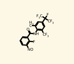 Cc1cc(C(F)(C(F)(F)F)C(F)(F)F)cc(C(F)(F)F)c1NC(=O)c1cccc(N=O)c1F